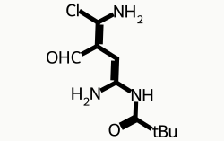 CC(C)(C)C(=O)N/C(N)=C/C(C=O)=C(\N)Cl